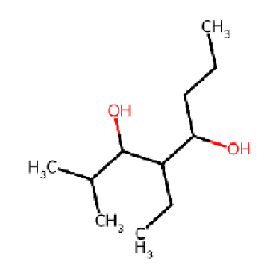 CCCC(O)C(CC)C(O)C(C)C